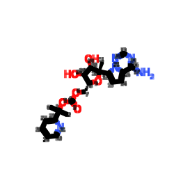 CC(C)(OC(=O)OC[C@H]1O[C@@](C)(c2ccc3c(N)ncnn23)[C@H](O)[C@@H]1O)c1ccccn1